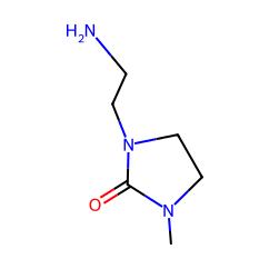 CN1CCN(CCN)C1=O